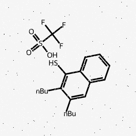 CCCCc1cc2ccccc2c(S)c1CCCC.O=S(=O)(O)C(F)(F)F